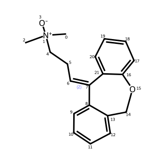 C[N+](C)([O-])CC/C=C1/c2ccccc2COc2ccccc21